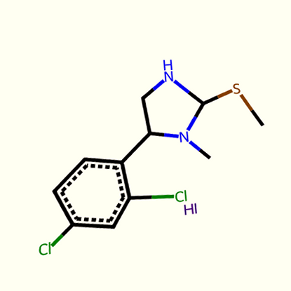 CSC1NCC(c2ccc(Cl)cc2Cl)N1C.I